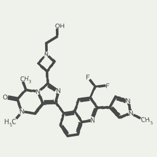 CC1C(=O)N(C)Cc2c(-c3cccc4nc(-c5cnn(C)c5)c(C(F)F)cc34)nc(C3CN(CCO)C3)n21